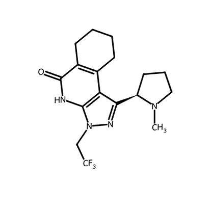 CN1CCC[C@@H]1c1nn(CC(F)(F)F)c2[nH]c(=O)c3c(c12)CCCC3